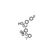 CC(C)c1ccccc1Oc1ccc(C=Cc2cc(-c3ccc(F)cc3)ccc2C(=O)O)cc1[N+](=O)[O-]